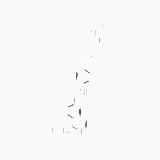 CN1CCC(COc2ccc(NCc3ccc4c(N)nccc4c3)cc2)CC1